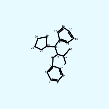 CC(C)[C](Cc1ccccc1)C(c1ccccc1)C1CCCC1